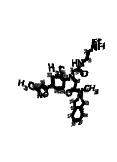 CCNCCNC(=O)CN(CC(=O)N(C)N1Cc2ccccc2C1)c1ccc(-c2cc(C)no2)cc1C